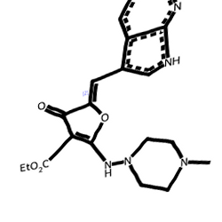 CCOC(=O)C1=C(NN2CCN(C)CC2)O/C(=C\c2c[nH]c3ncccc23)C1=O